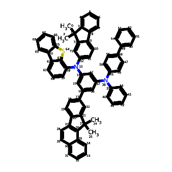 CC1(C)c2ccccc2-c2ccc(N(c3cc(-c4ccc5c(c4)C(C)(C)c4c-5ccc5ccccc45)cc(N(c4ccccc4)c4ccc(-c5ccccc5)cc4)c3)c3cccc4c3sc3ccccc34)cc21